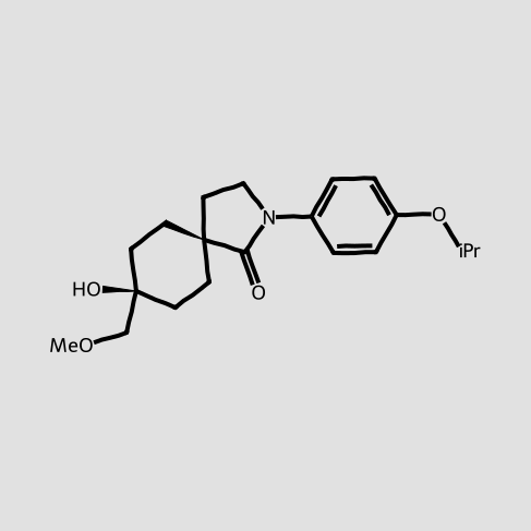 COC[C@]1(O)CC[C@]2(CCN(c3ccc(OC(C)C)cc3)C2=O)CC1